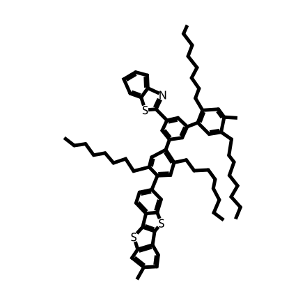 CCCCCCCCc1cc(-c2cc(-c3nc4ccccc4s3)cc(-c3cc(CCCCCCCC)c(-c4ccc5c(c4)sc4c6ccc(C)cc6sc54)cc3CCCCCCCC)c2)c(CCCCCCCC)cc1C